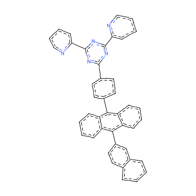 c1ccc(-c2nc(-c3ccc(-c4c5ccccc5c(-c5ccc6ccccc6c5)c5ccccc45)cc3)nc(-c3ccccn3)n2)nc1